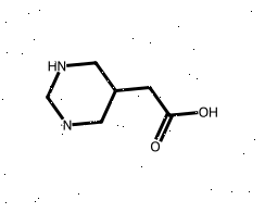 O=C(O)CC1C[N]CNC1